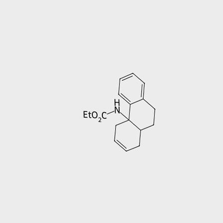 CCOC(=O)NC12CC=CCC1CCc1ccccc12